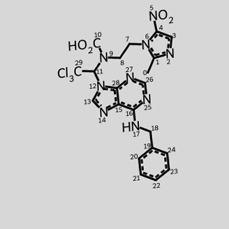 Cc1ncc([N+](=O)[O-])n1CCN(C(=O)O)C(n1cnc2c(NCc3ccccc3)ncnc21)C(Cl)(Cl)Cl